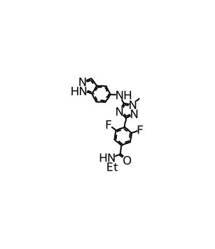 CCNC(=O)c1cc(F)c(-c2nc(Nc3ccc4[nH]ncc4c3)n(C)n2)c(F)c1